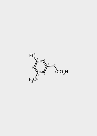 CCc1cc(CC(=O)O)cc(C(F)(F)F)c1